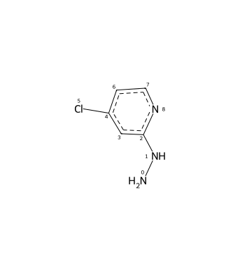 NNc1cc(Cl)ccn1